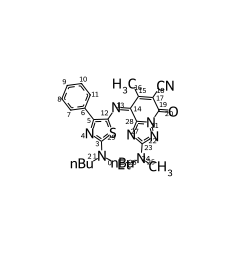 CCCCN(CCCC)c1nc(-c2ccccc2)c(/N=C2/C(C)=C(C#N)C(=O)n3nc(N(C)CC)nc32)s1